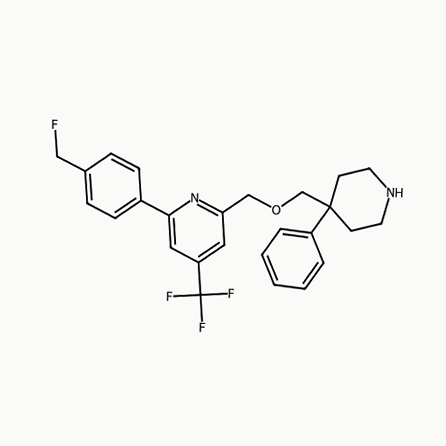 FCc1ccc(-c2cc(C(F)(F)F)cc(COCC3(c4ccccc4)CCNCC3)n2)cc1